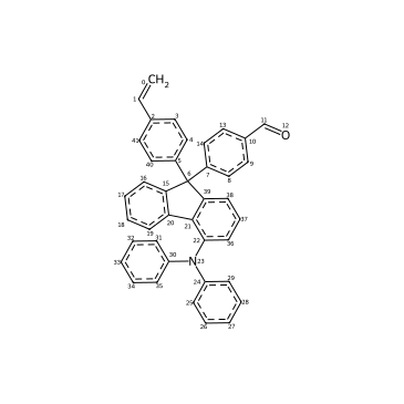 C=Cc1ccc(C2(c3ccc(C=O)cc3)c3ccccc3-c3c(N(c4ccccc4)c4ccccc4)cccc32)cc1